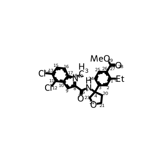 CCc1cc(C2(NC(=O)c3cc4c(Cl)c(Cl)ccc4n3C)CCOC2)ccc1C(=O)OC